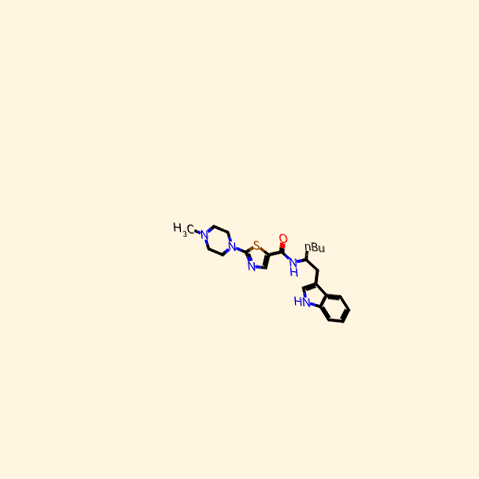 CCCCC(Cc1c[nH]c2ccccc12)NC(=O)c1cnc(N2CCN(C)CC2)s1